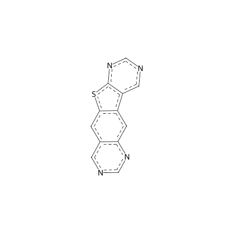 c1ncc2cc3sc4ncncc4c3cc2n1